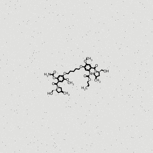 C=CCOC(=O)Nc1cc(OCCCCCOc2cc(OC(N)=O)c(C(=O)N3CC(=C)C[C@@H]3CO)cc2OC)c(OC)cc1C(=O)N1CC(=C)C[C@@H]1CO